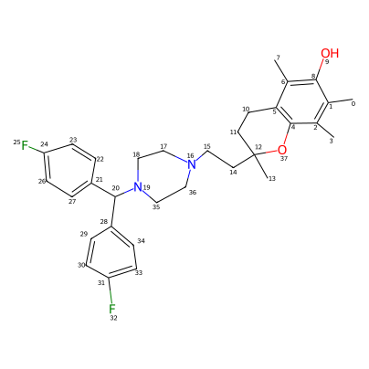 Cc1c(C)c2c(c(C)c1O)CCC(C)(CCN1CCN(C(c3ccc(F)cc3)c3ccc(F)cc3)CC1)O2